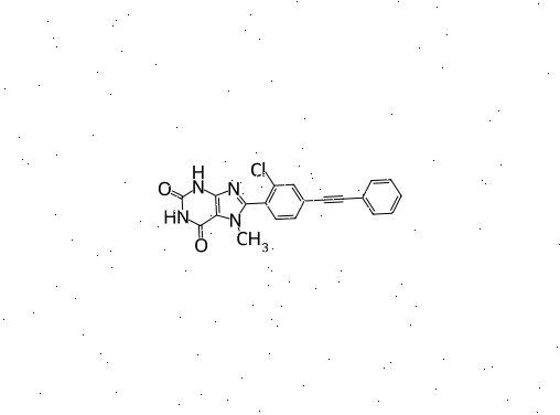 Cn1c(-c2ccc(C#Cc3ccccc3)cc2Cl)nc2[nH]c(=O)[nH]c(=O)c21